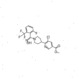 COC(=O)c1cnc(C2CCN(/C(=N\O)c3c(F)cccc3C(F)(F)F)CC2)c(Cl)c1